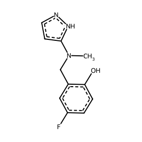 CN(Cc1cc(F)ccc1O)c1ccn[nH]1